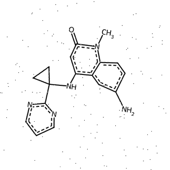 Cn1c(=O)cc(NC2(c3ncccn3)CC2)c2cc(N)ccc21